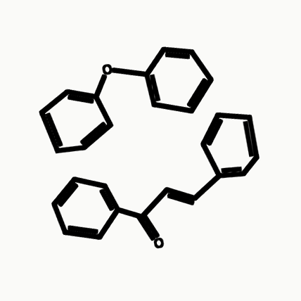 O=C(C=Cc1ccccc1)c1ccccc1.c1ccc(Oc2ccccc2)cc1